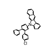 Clc1ccc(-c2cc(-n3c4ccccc4c4cc5ccccc5cc43)ccc2-c2ccccc2)cc1